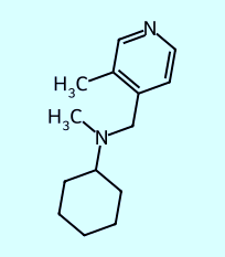 Cc1cnccc1CN(C)C1CCCCC1